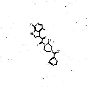 CC1CN(C(=O)c2ccccn2)CCN1C(=O)C(=O)C1CNc2c(Br)ncc(F)c21